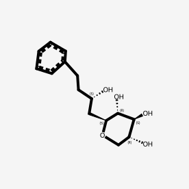 O[C@@H](CCc1ccccc1)C[C@@H]1OC[C@@H](O)[C@H](O)[C@H]1O